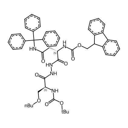 CCCCOC[C@H](NC(=O)OC(C)(C)C)C(=O)NNC(=O)[C@H](CC(=O)NC(c1ccccc1)(c1ccccc1)c1ccccc1)NC(=O)OCC1c2ccccc2-c2ccccc21